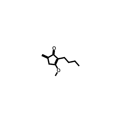 C=C1CC(OC)=C(CCCC)C1=O